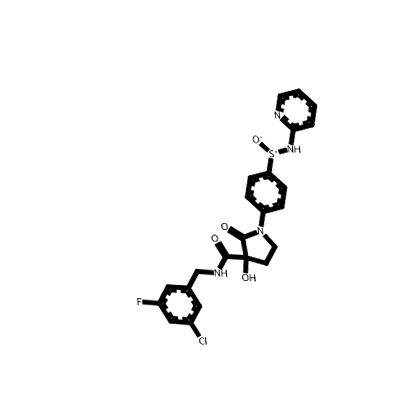 O=C(NCc1cc(F)cc(Cl)c1)C1(O)CCN(c2ccc([S+]([O-])Nc3ccccn3)cc2)C1=O